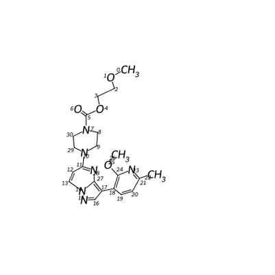 COCCOC(=O)N1CCN(c2ccn3ncc(-c4ccc(C)nc4OC)c3n2)CC1